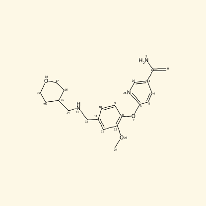 C=C(N)c1ccc(Oc2ccc(CNCC3CCOCC3)cc2OC)nc1